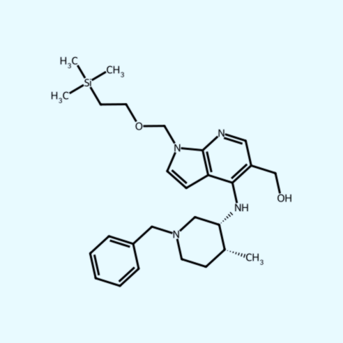 C[C@@H]1CCN(Cc2ccccc2)C[C@@H]1Nc1c(CO)cnc2c1ccn2COCC[Si](C)(C)C